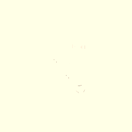 N[C@H]1C[C@@H](CNC2CCc3ccccc3C2)C[C@@H]1CCCB(O)O